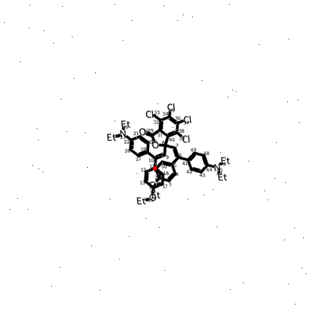 CCOc1ccc(C(=CC2(C=C(c3ccc(OCC)cc3)c3ccc(N(CC)CC)cc3)OC(=O)c3c(Cl)c(Cl)c(Cl)c(Cl)c32)c2ccc(N(CC)CC)cc2)cc1